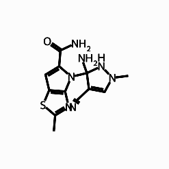 Cc1nc2c(cc(C(N)=O)n2C2(N)NN(C)C=C2C#N)s1